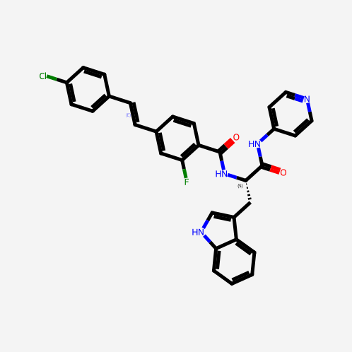 O=C(N[C@@H](Cc1c[nH]c2ccccc12)C(=O)Nc1ccncc1)c1ccc(/C=C/c2ccc(Cl)cc2)cc1F